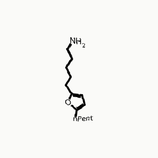 CCCCCc1ccc(CCCCCN)o1